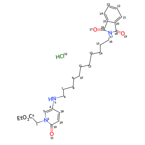 CCOC(=O)Cn1cc(NCCCCCCCCCCCN2C(=O)c3ccccc3C2=O)ccc1=O.Cl